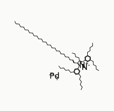 CCCCCCCCCCCCCCCCCCCCCCCCCCC=CC1=C(c2cc(CCCCCC)cc(CCCCCC)c2)[N+](=[N-])C(c2cc(CCCCC)cc(CCCCC)c2)=C1CCCC.C[CH2][Pd][CH2]C